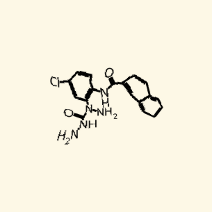 NNC(=O)N(N)c1cc(Cl)ccc1NC(=O)c1ccc2ccccc2c1